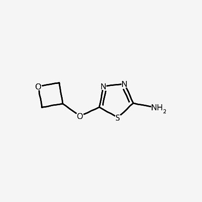 Nc1nnc(OC2COC2)s1